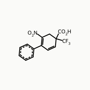 O=C(O)C1(C(F)(F)F)C=CC(c2ccccc2)=C([N+](=O)[O-])C1